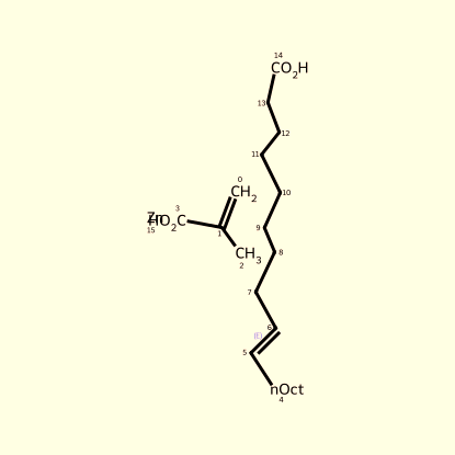 C=C(C)C(=O)O.CCCCCCCC/C=C/CCCCCCCC(=O)O.[Zn]